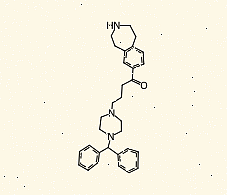 O=C(CCCN1CCN(C(c2ccccc2)c2ccccc2)CC1)c1ccc2c(c1)CCNCC2